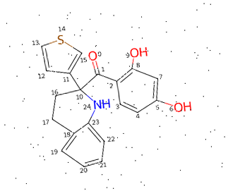 O=C(c1ccc(O)cc1O)C1(c2ccsc2)CCc2ccccc2N1